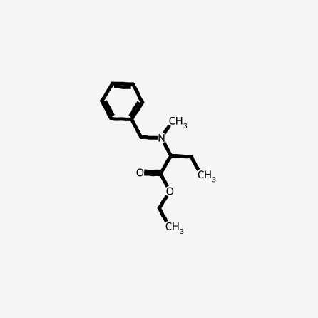 CCOC(=O)C(CC)N(C)Cc1ccccc1